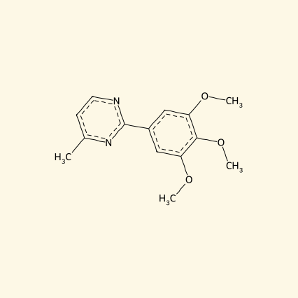 COc1cc(-c2nccc(C)n2)cc(OC)c1OC